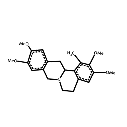 COc1cc2c(cc1OC)CN1CCc3cc(OC)c(OC)c(C)c3C1C2